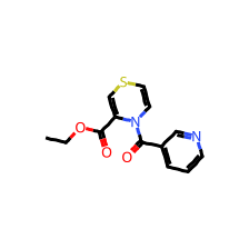 CCOC(=O)C1=CSC=CN1C(=O)c1cccnc1